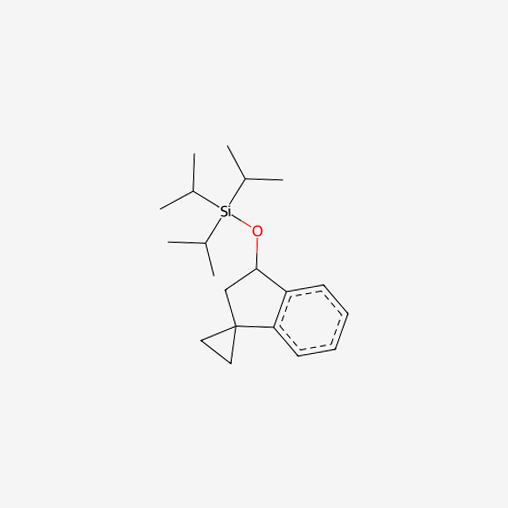 CC(C)[Si](OC1CC2(CC2)c2ccccc21)(C(C)C)C(C)C